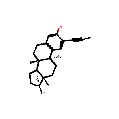 CC#Cc1cc2c(cc1O)CC[C@@H]1[C@@H]2CC[C@]2(C)[C@@H](CC)CC[C@@H]12